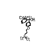 CCN(CC)CCCOc1ccc(C(O)(CC)c2ccccc2OC)cc1